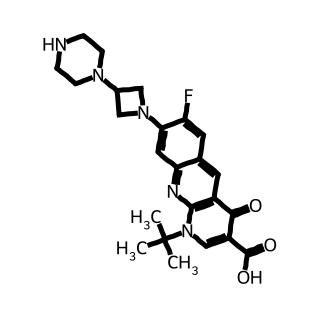 CC(C)(C)n1cc(C(=O)O)c(=O)c2cc3cc(F)c(N4CC(N5CCNCC5)C4)cc3nc21